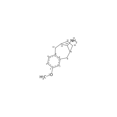 COc1ccc2c(c1)CC1CCC(C2)C1N